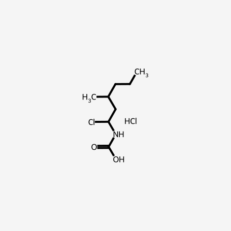 CCCC(C)CC(Cl)NC(=O)O.Cl